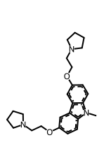 Cn1c2ccc(OCCN3CCCC3)cc2c2cc(OCCN3CCCC3)ccc21